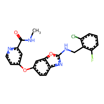 CNC(=O)c1cc(Oc2ccc3nc(NCc4c(F)cccc4Cl)oc3c2)ccn1